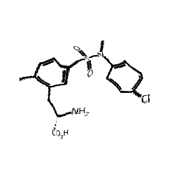 Cc1ccc(S(=O)(=O)N(C)c2ccc(Cl)cc2)cc1C[C@H](N)C(=O)O